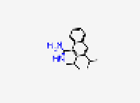 CC(C)c1cc2ccccc2c(C(=N)N)c1C(C)C